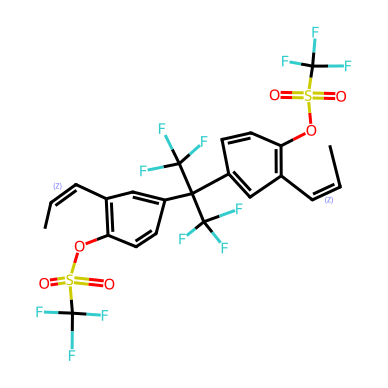 C/C=C\c1cc(C(c2ccc(OS(=O)(=O)C(F)(F)F)c(/C=C\C)c2)(C(F)(F)F)C(F)(F)F)ccc1OS(=O)(=O)C(F)(F)F